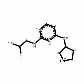 FC(F)CNc1nccc(OC2CCNC2)n1